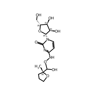 C[C@]1(C(O)ONc2ccn([C@@H]3O[C@H](CO)[C@@H](O)[C@H]3O)c(=O)n2)CCCO1